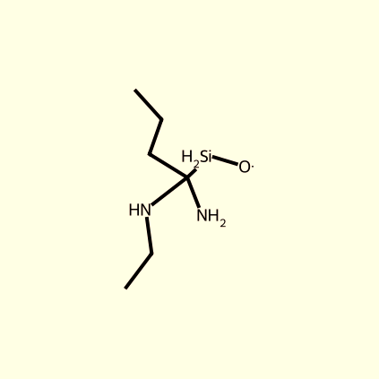 CCCC(N)(NCC)[SiH2][O]